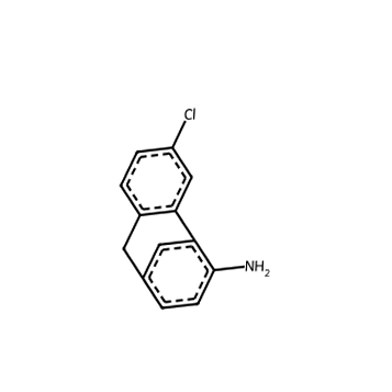 Nc1ccc2cc1-c1cc(Cl)ccc1C2